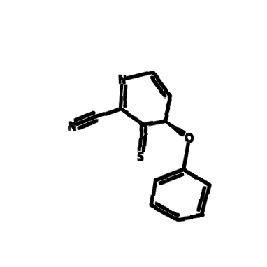 N#CC1=NC=C[C@@H](Oc2ccccc2)C1=S